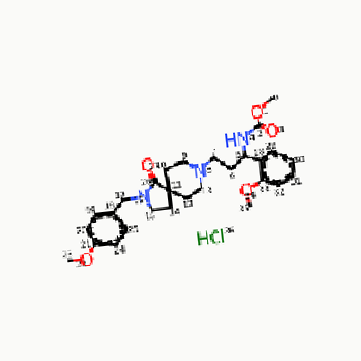 COC(=O)NC(CCN1CCC2(CC1)CCN(Cc1ccc(OC)cc1)C2=O)c1ccccc1OC.Cl